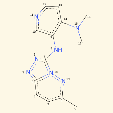 Cc1ccc2nnc(Nc3cnccc3N(C)C)n2n1